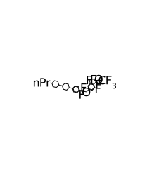 CCCC1CCC(C2CCC(c3ccc(C(F)(F)Oc4cc(F)c(C(F)(F)OC(F)(F)F)c(F)c4)cc3)CC2)CC1